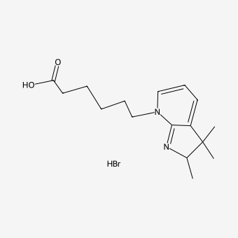 Br.CC1N=C2C(=CC=CN2CCCCCC(=O)O)C1(C)C